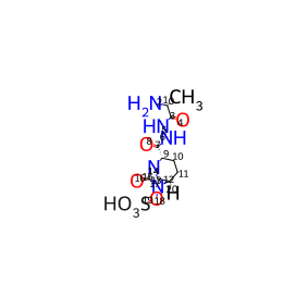 C[C@@H](N)C(=O)NNC(=O)[C@@H]1CC[C@@H]2CN1C(=O)N2OS(=O)(=O)O